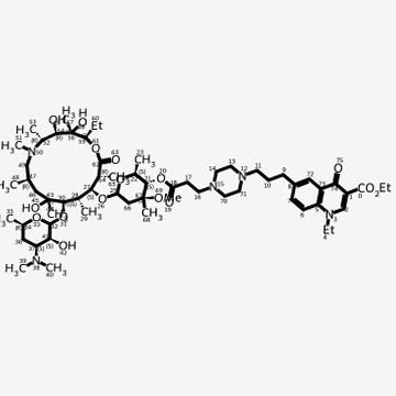 CCOC(=O)c1cn(CC)c2ccc(CCCN3CCN(CCC(=O)O[C@H]4[C@H](C)OC(O[C@H]5[C@H](C)[C@@H](OC6O[C@H](C)C[C@H](N(C)C)[C@@H]6O)[C@](C)(O)C[C@@H](C)CN(C)[C@H](C)[C@@H](O)[C@](C)(O)[C@@H](CC)OC(=O)[C@@H]5C)C[C@]4(C)OC)CC3)cc2c1=O